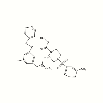 CC(=O)N[C@@H](Cc1cc(F)cc(OCc2ccnnc2)c1)C[C@H]1CN(S(=O)(=O)c2cccc(C)c2)CCN1C(=O)OC(C)(C)C